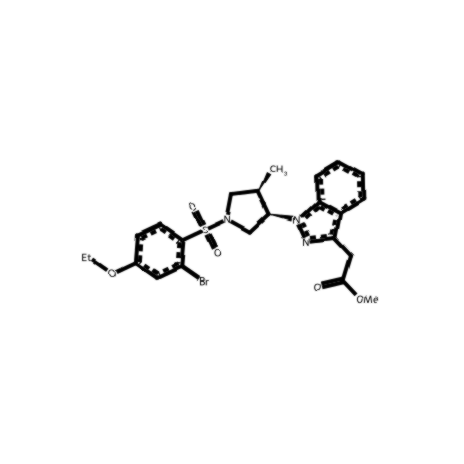 CCOc1ccc(S(=O)(=O)N2C[C@@H](C)[C@@H](n3nc(CC(=O)OC)c4ccccc43)C2)c(Br)c1